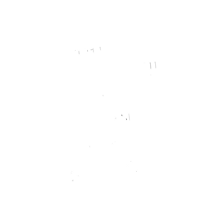 CCCCCC(O)CNC(=O)OC(C)(C)C